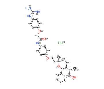 Cc1c2c(c3ccccc3c1O)OC(C)(CCOc1ccc(NC(=O)COc3ccc(NC(=N)N)cc3)cc1)CC2.Cl